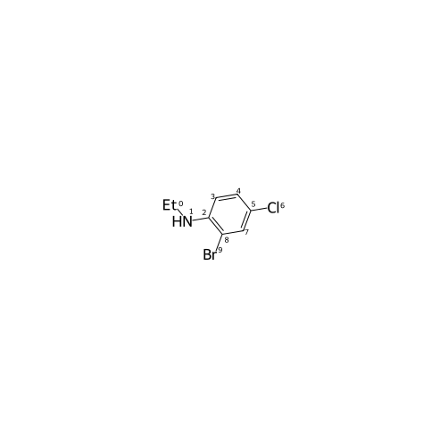 CCNc1ccc(Cl)cc1Br